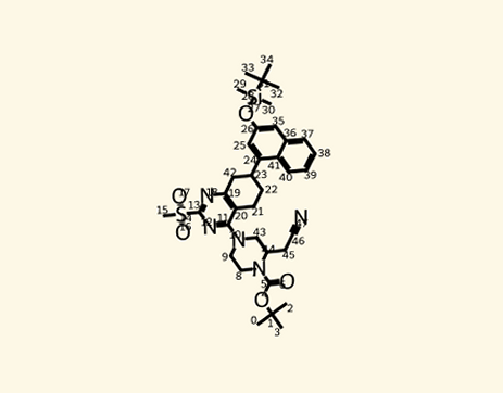 CC(C)(C)OC(=O)N1CCN(c2nc(S(C)(=O)=O)nc3c2CCC(c2cc(O[Si](C)(C)C(C)(C)C)cc4ccccc24)C3)CC1CC#N